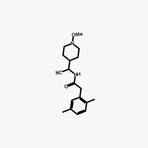 CON1CCC(C(C#N)NC(=O)Cc2cc(C)ccc2C)CC1